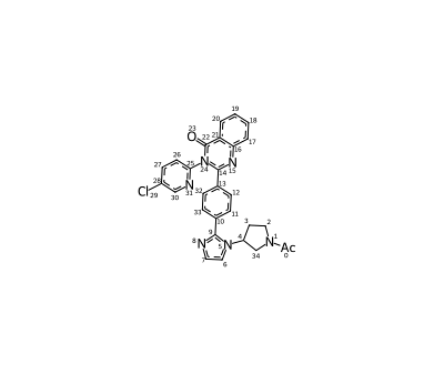 CC(=O)N1CCC(n2ccnc2-c2ccc(-c3nc4ccccc4c(=O)n3-c3ccc(Cl)cn3)cc2)C1